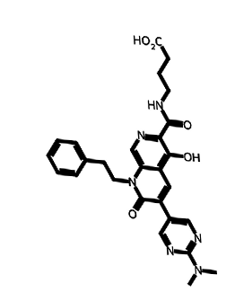 CN(C)c1ncc(-c2cc3c(O)c(C(=O)NCCCC(=O)O)ncc3n(CCc3ccccc3)c2=O)cn1